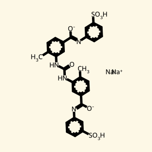 Cc1ccc(C([O-])=Nc2cccc(S(=O)(=O)O)c2)cc1NC(=O)Nc1cc(C([O-])=Nc2cccc(S(=O)(=O)O)c2)ccc1C.[Na+].[Na+]